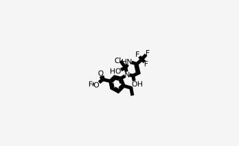 CCc1ccc(C(=O)OF)cc1N1C(O)C=C(C(F)(F)F)NC1(O)Cl